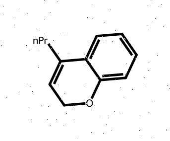 [CH2]CCC1=CCOc2ccccc21